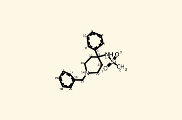 CS(=O)(=O)NC1(c2ccccc2)CCN(Cc2ccccc2)CC1